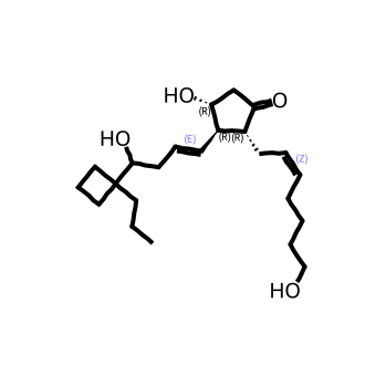 CCCC1(C(O)C/C=C/[C@H]2[C@H](O)CC(=O)[C@@H]2C/C=C\CCCCO)CCC1